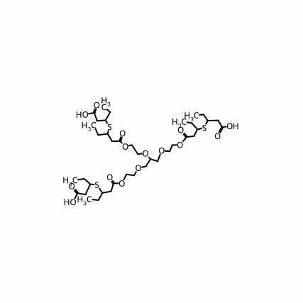 CCC(CC(=O)O)SC(CC)CC(=O)OCCOCC(COCCOC(=O)CC(CC)SC(CC)CC(=O)O)OCCOC(=O)CC(CC)SC(CC)CC(=O)O